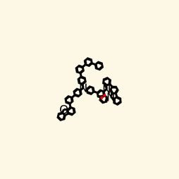 c1ccc(-c2cccc(-c3cccc(-c4ccc(N(c5ccc(-c6cccc(-c7cccc8c7oc7ccccc78)c6)cc5)c5ccc(-c6cccc(-n7c8ccccc8c8ccc9c%10ccccc%10n(-c%10ccccc%10)c9c87)c6)cc5)cc4)c3)c2)cc1